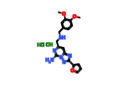 COc1ccc(CNCc2cc3nc(-c4ccco4)nn3c(N)n2)cc1OC.Cl.Cl